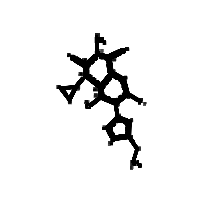 NCc1cc(-c2c(F)cc3c(=O)n(N)c(=O)n(C4CC4)c3c2Cl)cs1